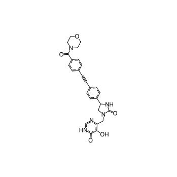 O=C1NC(c2ccc(C#Cc3ccc(C(=O)N4CCOCC4)cc3)cc2)CN1Cc1nc[nH]c(=O)c1O